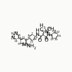 Cc1c(C(=O)Nc2ccc(-c3cc(-c4cncnc4)cnc3N)cc2)c(=O)n(-c2ccccc2)n1C